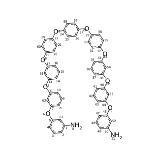 Nc1cccc(Oc2cccc(Oc3cccc(Oc4ccc(Oc5ccc(Oc6ccc(Oc7cccc(Oc8cccc(Oc9cccc(N)c9)c8)c7)cc6)cc5)cc4)c3)c2)c1